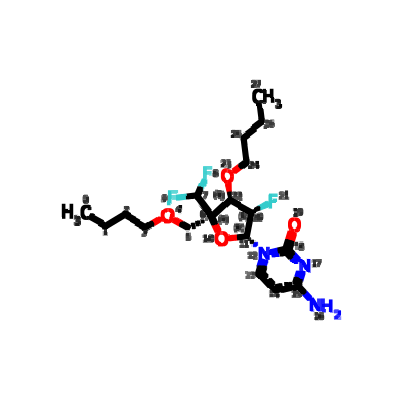 CCCCOC[C@@]1(C(F)F)O[C@@H](n2ccc(N)nc2=O)[C@H](F)[C@@H]1OCCCC